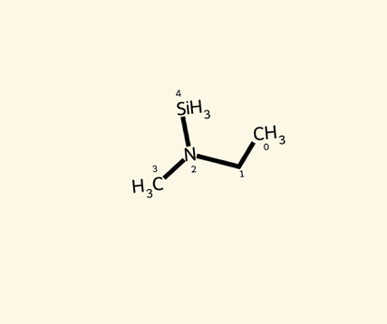 CCN(C)[SiH3]